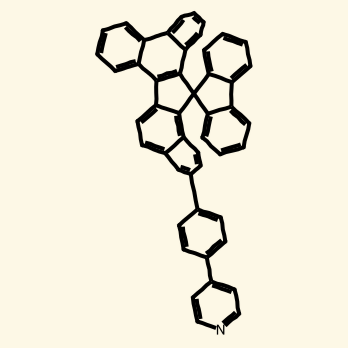 c1ccc2c(c1)-c1ccccc1C21c2c(ccc3cc(-c4ccc(-c5ccncc5)cc4)ccc23)-c2c1c1ccccc1c1ccccc21